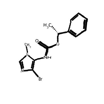 C[C@@H](OC(=O)Nc1c(Br)ncn1C)c1ccccc1